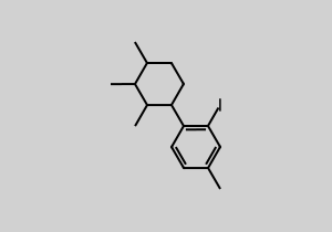 Cc1ccc(C2CCC(C)C(C)C2C)c(I)c1